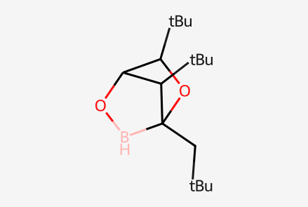 CC(C)(C)CC12BOC(C(C(C)(C)C)O1)C2C(C)(C)C